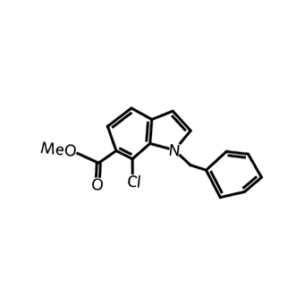 COC(=O)c1ccc2ccn(Cc3ccccc3)c2c1Cl